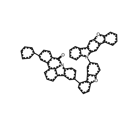 O=c1c2ccc(-c3ccccc3)cc2c2cccc3c4cc(-c5cccc6oc7ccc(-n8c9ccccc9c9cc%10oc%11ccccc%11c%10cc98)cc7c56)ccc4n1c23